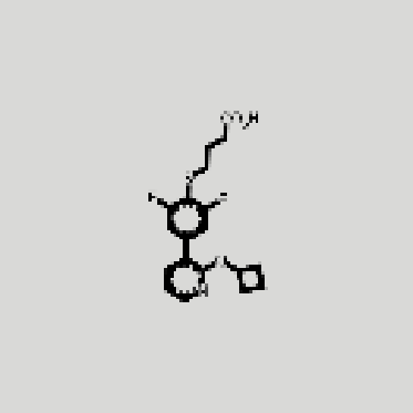 O=C(O)CCCSc1c(F)cc(-c2cccnc2OC2CCC2)cc1F